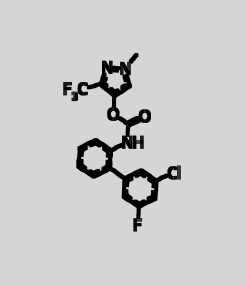 Cn1cc(OC(=O)Nc2ccccc2-c2cc(F)cc(Cl)c2)c(C(F)(F)F)n1